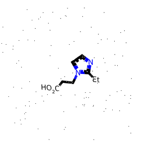 CCc1nccn1CCC(=O)O